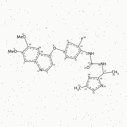 COc1cc2nccc(Oc3ccc(NC(=O)NC(C)c4ncc(C)s4)c(F)c3)c2cc1OC